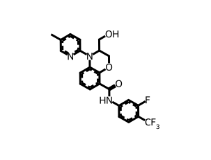 Cc1ccc(N2c3cccc(C(=O)Nc4ccc(C(F)(F)F)c(F)c4)c3OCC2CO)nc1